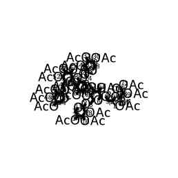 CC(=O)OC[C@@H](COC1OC(COC2OCC(OC(C)=O)C(OC(C)=O)C2OC(C)=O)C(O[C@@H]2O[C@@H](CO[C@H]3OC[C@@H](OC(C)=O)C(OC(C)=O)C3OC(C)=O)C(OC3OC(COC4OCC(OC(C)=O)C(OC(C)=O)C4OC(C)=O)C(OC(C)=O)C(OC(C)=O)C3OC(C)=O)C(OC(C)=O)C2OC(C)=O)C(OC(C)=O)C1OC(C)=O)O[C@H](Br)C(OC(C)=O)[C@H](C)OC(C)=O